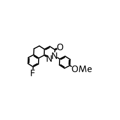 COc1ccc(-n2nc3c(cc2=O)CCc2ccc(F)cc2-3)cc1